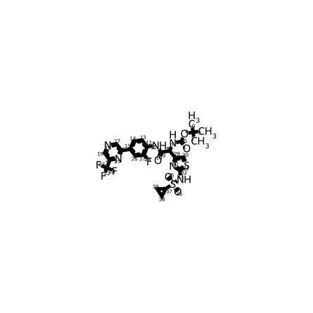 CC(C)(C)OC(=O)NC(C(=O)Nc1ccc(-c2cncc(C(F)(F)F)n2)cc1F)c1csc(NS(=O)(=O)C2CC2)n1